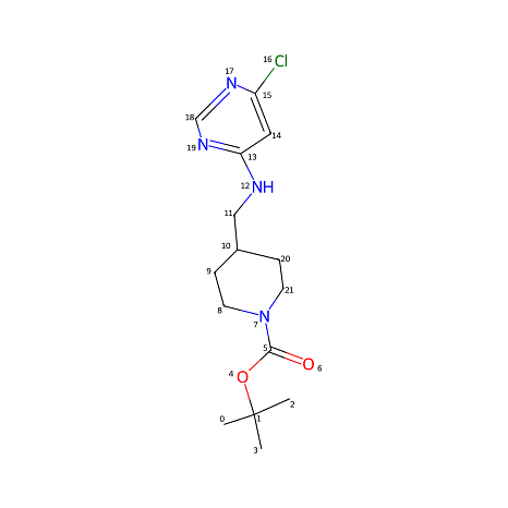 CC(C)(C)OC(=O)N1CCC(CNc2cc(Cl)ncn2)CC1